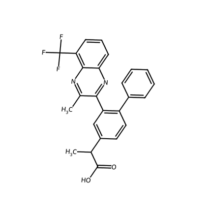 Cc1nc2c(C(F)(F)F)cccc2nc1-c1cc(C(C)C(=O)O)ccc1-c1ccccc1